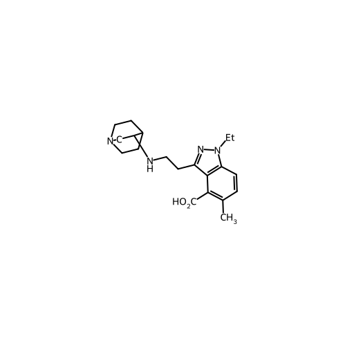 CCn1nc(CCNC2CN3CCC2CC3)c2c(C(=O)O)c(C)ccc21